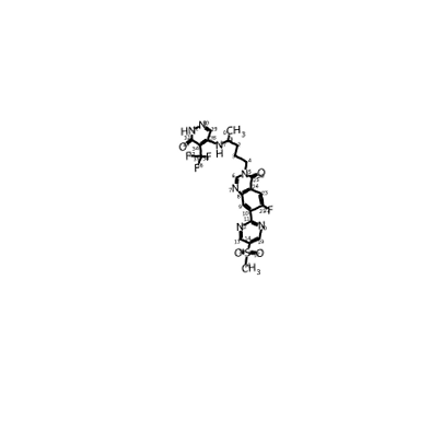 C[C@@H](CCCn1cnc2cc(-c3ncc(S(C)(=O)=O)cn3)c(F)cc2c1=O)Nc1cn[nH]c(=O)c1C(F)(F)F